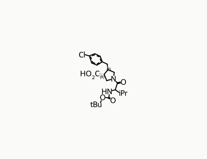 CC(C)C(NC(=O)OC(C)(C)C)C(=O)N1C[C@H](Cc2ccc(Cl)cc2)[C@@H](C(=O)O)C1